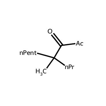 CCCCCC(C)(CCC)C(=O)C(C)=O